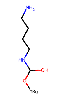 CC(C)(C)OC(O)NCCCCN